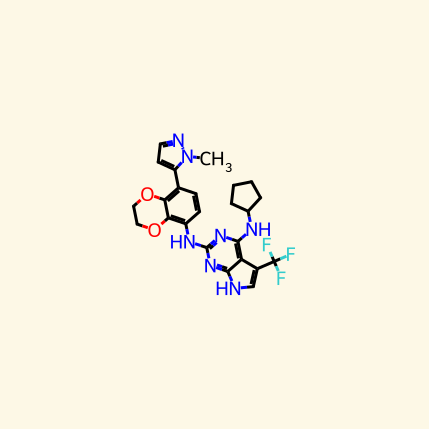 Cn1nccc1-c1ccc(Nc2nc(NC3CCCC3)c3c(C(F)(F)F)c[nH]c3n2)c2c1OCCO2